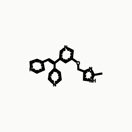 Cc1nc(COc2cncc(C(=Cc3ccncc3)c3ccncc3)c2)c[nH]1